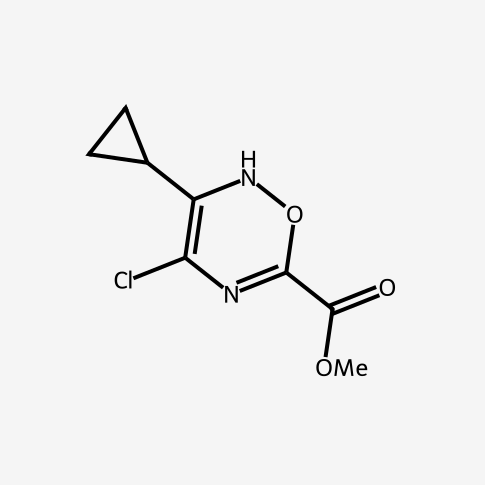 COC(=O)C1=NC(Cl)=C(C2CC2)NO1